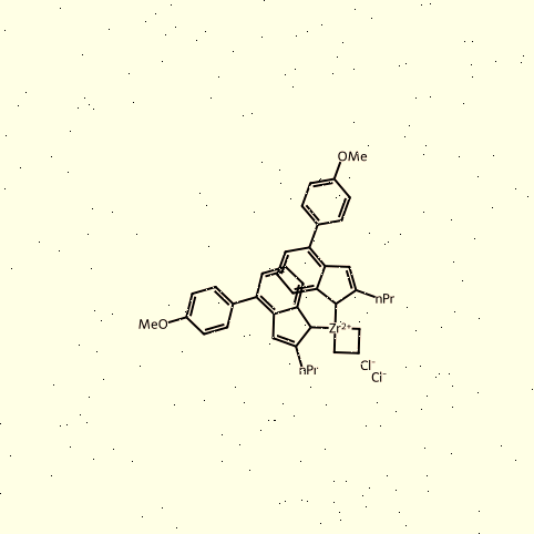 CCCC1=Cc2c(-c3ccc(OC)cc3)cccc2[CH]1[Zr+2]1([CH]2C(CCC)=Cc3c(-c4ccc(OC)cc4)cccc32)[CH2]C[CH2]1.[Cl-].[Cl-]